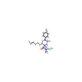 CC=CCCCC1CN(c2ccc(F)cc2)C(C)CN1C(=O)NCC.Cl